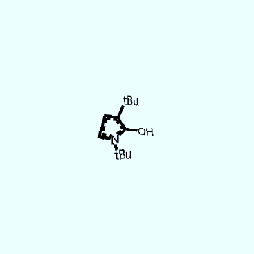 CC(C)(C)c1ccn(C(C)(C)C)c1O